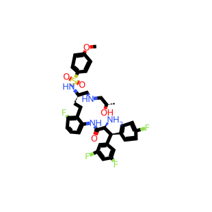 COc1ccc(S(=O)(=O)N[C@@H](CCc2c(F)cccc2NC(=O)[C@@H](N)[C@@H](c2ccc(F)cc2)c2cc(F)cc(F)c2)CNC[C@H](C)O)cc1